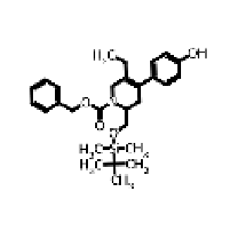 CCC1=C(c2ccc(O)cc2)CC(CO[Si](C)(C)C(C)(C)C)N(C(=O)OCc2ccccc2)C1